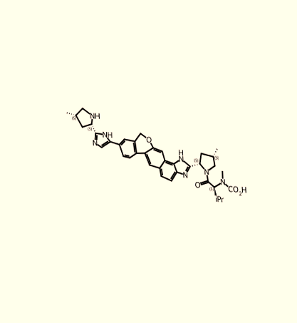 CC(C)[C@@H](C(=O)N1C[C@@H](C)C[C@H]1c1nc2ccc3cc4c(cc3c2[nH]1)OCc1cc(-c2cnc([C@@H]3C[C@H](C)CN3)[nH]2)ccc1-4)N(C)C(=O)O